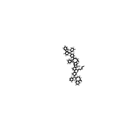 C=C/C=C\C=C(/C)c1c(-c2ccc(N(/C3=C/C=C\C(=C)c4ccccc4O3)c3ccccc3)cc2)ccc2c1[nH]c1cc3c(cc12)N1/C(=C(c2ccc(N(C4=CC=CCC4)c4cccc5c4oc4ccccc45)cc2)\C=C/C3=C)c2ccccc21